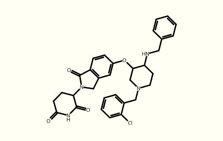 O=C1CCC(N2Cc3cc(OC4CN(Cc5ccccc5Cl)CCC4NCc4ccccc4)ccc3C2=O)C(=O)N1